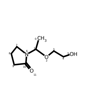 CC(OCCO)N1CCCC1=O